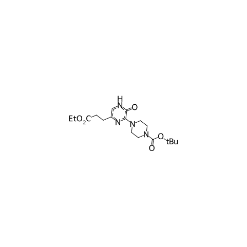 CCOC(=O)CCc1c[nH]c(=O)c(N2CCN(C(=O)OC(C)(C)C)CC2)n1